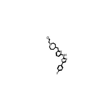 O=CCN1CCCC(Cc2cccc(Nc3ncc(-c4ccc(F)cc4)s3)n2)CC1